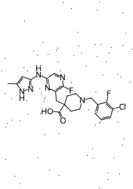 Cc1cc(Nc2cnc(F)c(CC3(C(=O)O)CCN(Cc4cccc(Cl)c4F)CC3)n2)n[nH]1